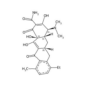 CCc1ccc(C)c2c1C[C@H]1C[C@H]3[C@H](N(C)C)C(O)=C(C(N)=O)C(=O)[C@@]3(O)C(O)=C1C2=O